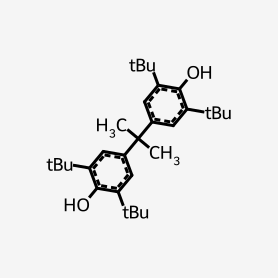 CC(C)(C)c1cc(C(C)(C)c2cc(C(C)(C)C)c(O)c(C(C)(C)C)c2)cc(C(C)(C)C)c1O